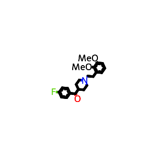 COc1cccc(CCN2CCC(C(=O)c3ccc(F)cc3)CC2)c1OC